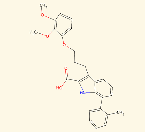 COc1cccc(OCCCc2c(C(=O)O)[nH]c3c(-c4ccccc4C)cccc23)c1OC